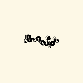 COC(=O)c1ccc2nc(CN3CCC(c4cccc(OCc5ccc(OC)n6nccc56)n4)CC3)n(C[C@@H]3CCO3)c2c1